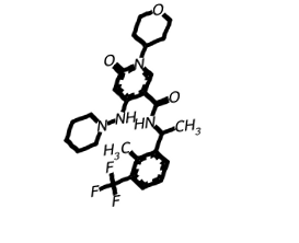 Cc1c(C(C)NC(=O)c2cn(C3CCOCC3)c(=O)cc2NN2CCCCC2)cccc1C(F)(F)F